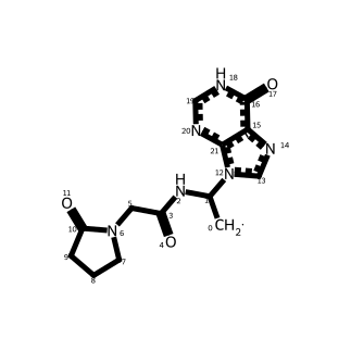 [CH2]C(NC(=O)CN1CCCC1=O)n1cnc2c(=O)[nH]cnc21